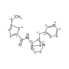 CSc1ccc(C(=O)NC2C3CCN(CC3)C2Cc2cccnc2)s1